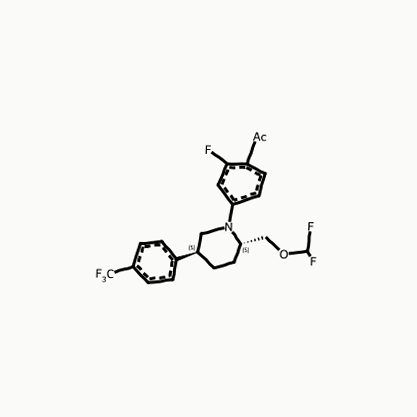 CC(=O)c1ccc(N2C[C@H](c3ccc(C(F)(F)F)cc3)CC[C@H]2COC(F)F)cc1F